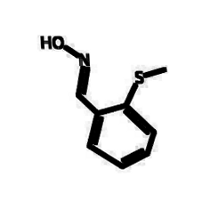 CSc1ccccc1C=NO